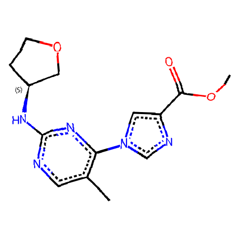 COC(=O)c1cn(-c2nc(N[C@H]3CCOC3)ncc2C)cn1